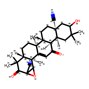 CC1(C)C[C@H]2[C@H]3C(=O)C=C4[C@@]5(C)C6OC6(C#N)C(=O)C(C)(C)[C@@H]5CC[C@@]4(C)[C@]3(C)CC[C@@]2(C#N)CC1O